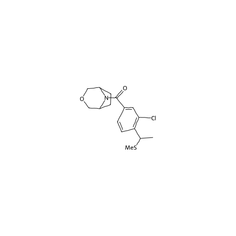 CSC(C)c1ccc(C(=O)N2C3CCC2COC3)cc1Cl